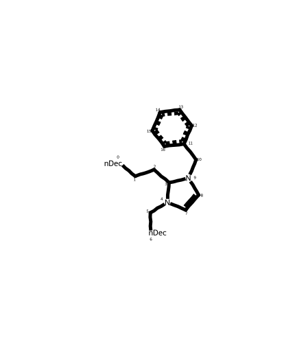 CCCCCCCCCCCCC1N(CCCCCCCCCCC)C=CN1Cc1ccccc1